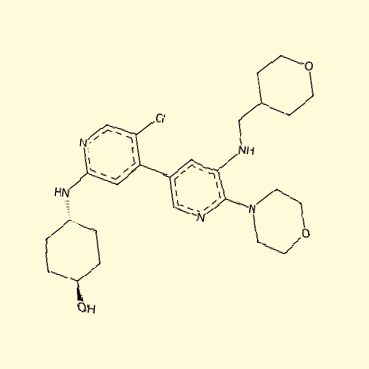 O[C@H]1CC[C@H](Nc2cc(-c3cnc(N4CCOCC4)c(NCC4CCOCC4)c3)c(Cl)cn2)CC1